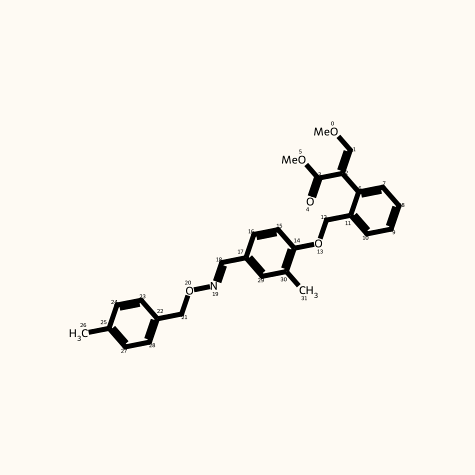 CO/C=C(\C(=O)OC)c1ccccc1COc1ccc(/C=N/OCc2ccc(C)cc2)cc1C